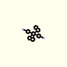 N#Cc1ccc(-c2cc(-c3cccc4ccccc34)c(-c3ccc(C#N)cc3)c3c2-c2cccc4cccc-3c24)cc1